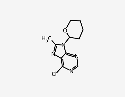 Cc1nc2c(Cl)ncnc2n1C1CCCCO1